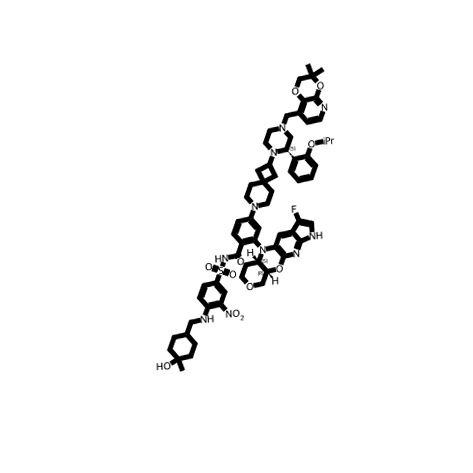 CC(C)Oc1ccccc1[C@H]1CN(Cc2ccnc3c2OCC(C)(C)O3)CCN1C1CC2(CCN(c3ccc(C(=O)NS(=O)(=O)c4ccc(NCC5CCC(C)(O)CC5)c([N+](=O)[O-])c4)c(N4c5cc6c(F)c[nH]c6nc5O[C@H]5COCC[C@@H]54)c3)CC2)C1